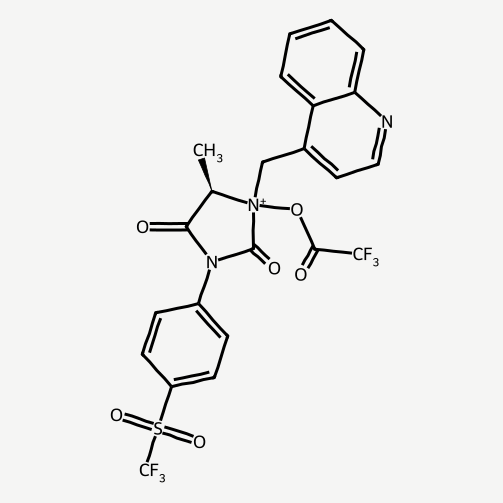 C[C@@H]1C(=O)N(c2ccc(S(=O)(=O)C(F)(F)F)cc2)C(=O)[N+]1(Cc1ccnc2ccccc12)OC(=O)C(F)(F)F